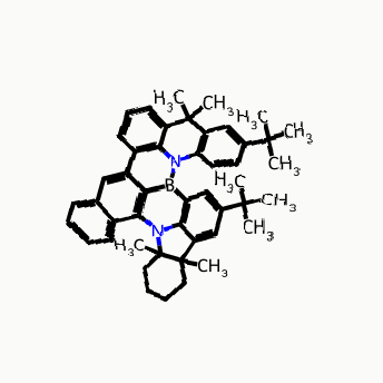 CC(C)(C)c1ccc2c(c1)C(C)(C)c1cccc3c1N2B1c2cc(C(C)(C)C)cc4c2N(c2c1c-3cc1ccccc21)C1(C)CCCCC41C